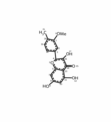 COc1cc(-c2oc3cc(O)cc(O)c3c(=O)c2O)ccc1C